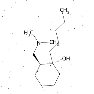 CCCCC[C@@]1(O)CCCC[C@H]1CN(C)C